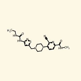 CCNC(=O)Nc1cc(CN2CCN(c3ccc(C(=O)NC)nc3C#N)CC2)sn1